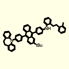 Cc1ccccc1CCc1ccccc1Nc1ccc(-c2c3ccccc3c(-c3ccc(N4c5ccccc5CCc5ccccc54)cc3)c3ccc(C(C)(C)C)cc23)cc1